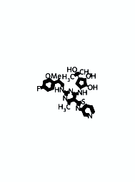 CO[C@@H](CNc1nc(C)c(-c2nc3cnccc3s2)c(N[C@@H]2C[C@H](C(C)(C)O)[C@@H](O)[C@H]2O)n1)c1ccc(F)cc1